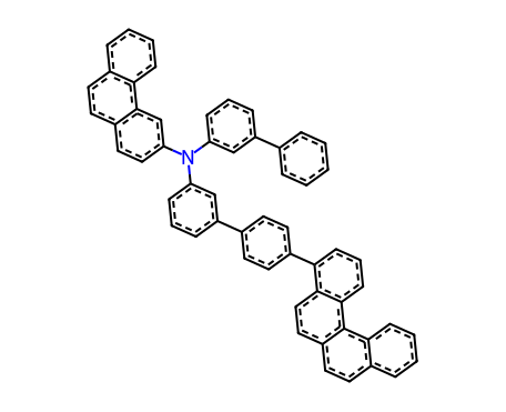 c1ccc(-c2cccc(N(c3cccc(-c4ccc(-c5cccc6c5ccc5ccc7ccccc7c56)cc4)c3)c3ccc4ccc5ccccc5c4c3)c2)cc1